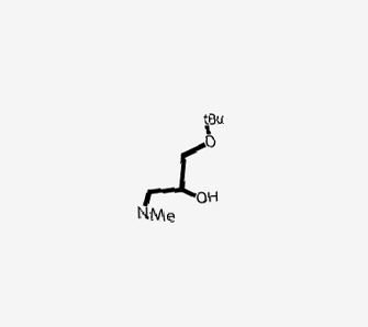 CNCC(O)COC(C)(C)C